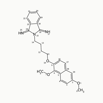 COc1ccc2c(OC)c(OCCCCN3C(=N)c4ccccc4C3=N)ccc2c1